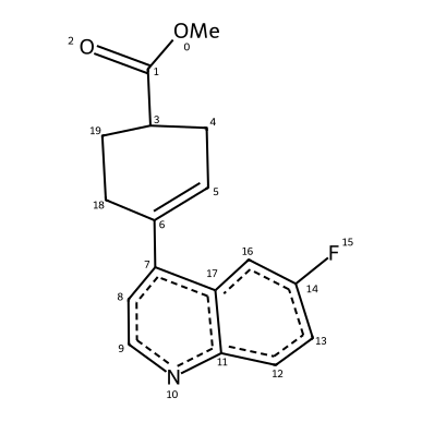 COC(=O)C1CC=C(c2ccnc3ccc(F)cc23)CC1